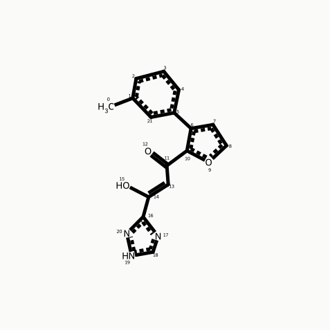 Cc1cccc(-c2ccoc2C(=O)C=C(O)c2nc[nH]n2)c1